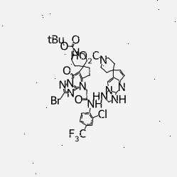 CC(C)(C)OC(=O)N1CCC2(CCc3c2c(=O)n2nc(Br)nc2n3CC(=O)Nc2ccc(C(F)(F)F)cc2Cl)CC1.O=C(O)N1CCC2(C=CC3=NC4NCNN4C=C32)CC1